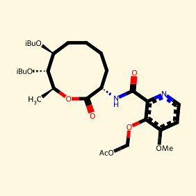 COc1ccnc(C(=O)N[C@H]2CCCC[C@H](OCC(C)C)[C@@H](OCC(C)C)[C@H](C)OC2=O)c1OCOC(C)=O